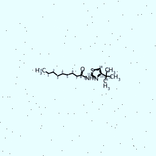 CCCCCCCCC(=O)Nc1nc(C(C)(C)C)cs1